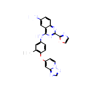 Cc1cc(Nc2nc(-c3ncco3)nc3ccc(N)cc23)ccc1Oc1ccn2ncnc2c1